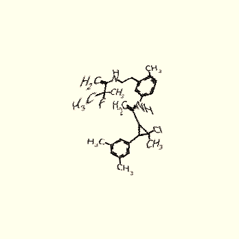 C=C(Nc1ccc(C)c(CCNC(=C)C(C)(C)F)c1)C1C(c2cc(C)cc(C)c2)C1(C)Cl